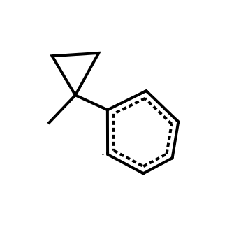 CC1(c2[c]cccc2)CC1